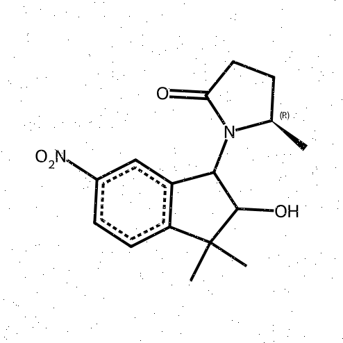 C[C@@H]1CCC(=O)N1C1c2cc([N+](=O)[O-])ccc2C(C)(C)C1O